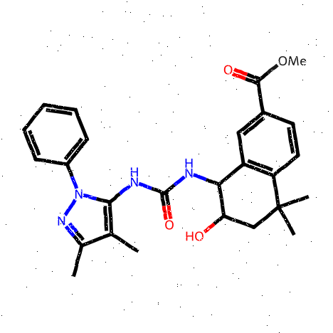 COC(=O)c1ccc2c(c1)C(NC(=O)Nc1c(C)c(C)nn1-c1ccccc1)C(O)CC2(C)C